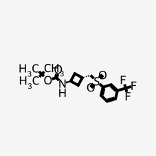 CC(C)(C)OC(=O)N[C@H]1C[C@H](CS(=O)(=O)c2cccc(C(F)(F)F)c2)C1